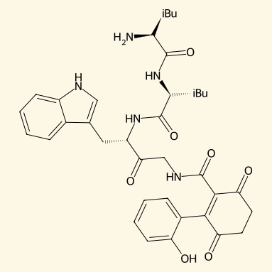 CC[C@H](C)[C@H](N)C(=O)N[C@H](C(=O)N[C@@H](Cc1c[nH]c2ccccc12)C(=O)CNC(=O)C1=C(c2ccccc2O)C(=O)CCC1=O)[C@@H](C)CC